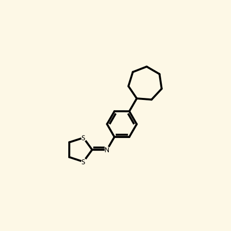 c1cc(C2CCCCCC2)ccc1N=C1SCCS1